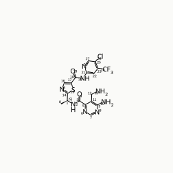 C[C@H](NC(=O)c1ncnc(N)c1CN)c1ncc(C(=O)Nc2cc(C(F)(F)F)c(Cl)cn2)s1